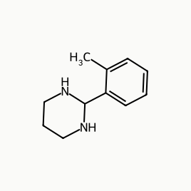 Cc1ccccc1C1NCCCN1